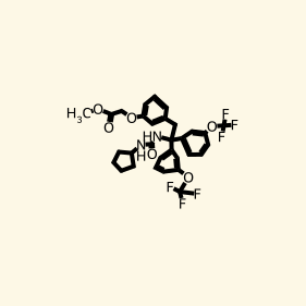 COC(=O)COc1cccc(CC(NC(=O)NC2CCCC2)(c2cccc(OC(F)(F)F)c2)c2cccc(OC(F)(F)F)c2)c1